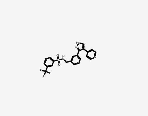 O=S(=O)(NCc1cccc(-c2n[nH]cc2-c2ccncc2)c1)c1cccc(C(F)(F)F)c1